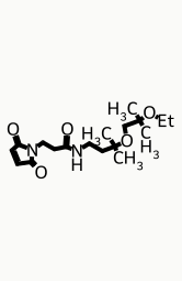 CCOC(C)(C)COC(C)(C)CCNC(=O)CCN1C(=O)C=CC1=O